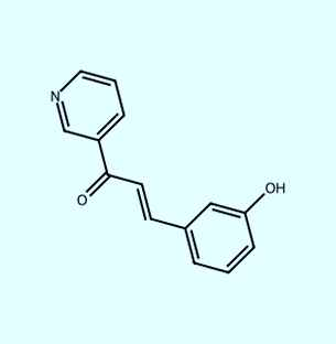 O=C(/C=C/c1cccc(O)c1)c1cccnc1